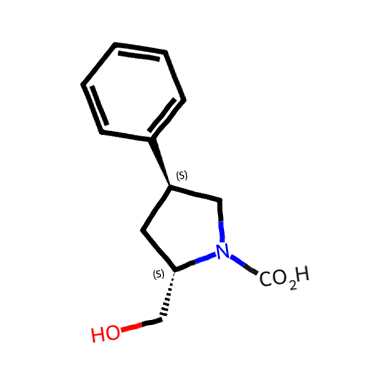 O=C(O)N1C[C@H](c2ccccc2)C[C@H]1CO